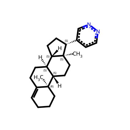 C[C@]12CC[C@H]3[C@@H](CCC4=CCCC[C@@]43C)[C@@H]1CC[C@@H]2c1ccnnc1